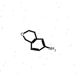 Nc1ccc2c(c1)CCOC2